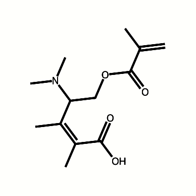 C=C(C)C(=O)OCC(C(C)=C(C)C(=O)O)N(C)C